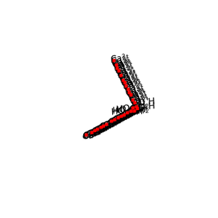 O=C(O)O.O=C(O)O.O=C(O)O.O=C(O)O.O=C(O)O.[Ca+2].[Ca+2].[Ca+2].[Ca+2].[Ca+2].[Ca+2].[Ca+2].[Ca+2].[Ca+2].[Ca+2].[Ca+2].[Ca+2].[Ca+2].[Ca+2].[Ca+2].[Ca+2].[Ca+2].[Ca+2].[Ca+2].[Ca+2].[Ca+2].[Ca+2].[Ca+2].[Ca+2].[Ca+2].[Ca+2].[Ca+2].[Ca+2].[Ca+2].[Ca+2].[Ca+2].[Ca+2].[Ca+2].[Ca+2].[Ca+2].[Ca+2].[Ca+2].[Ca+2].[Ca+2].[Ca+2].[Ca+2].[Ca+2].[Ca+2].[Ca+2].[Ca+2].[Ca+2].[Ca+2].[Ca+2].[Ca+2].[Ca+2].[Ca+2].[Ca+2].[Ca+2].[Ca+2].[Ca+2].[Ca+2].[Ca+2].[Ca+2].[Ca+2]